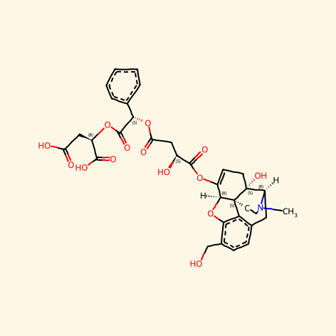 CN1CC[C@]23c4c5ccc(CO)c4O[C@H]2C(OC(=O)[C@@H](O)CC(=O)O[C@H](C(=O)O[C@H](CC(=O)O)C(=O)O)c2ccccc2)=CC[C@@]3(O)[C@H]1C5